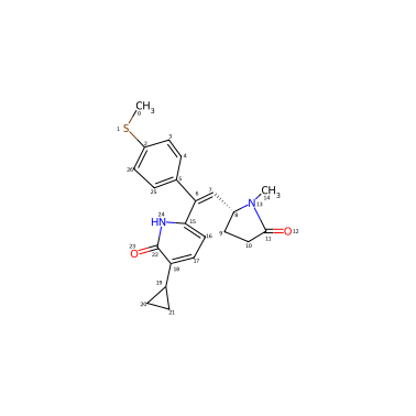 CSc1ccc(/C(=C/[C@H]2CCC(=O)N2C)c2ccc(C3CC3)c(=O)[nH]2)cc1